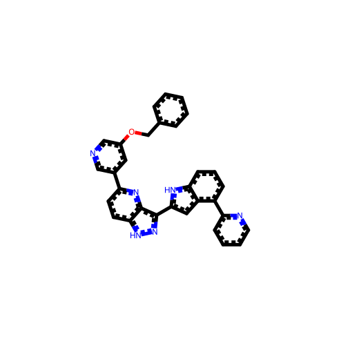 c1ccc(COc2cncc(-c3ccc4[nH]nc(-c5cc6c(-c7ccccn7)cccc6[nH]5)c4n3)c2)cc1